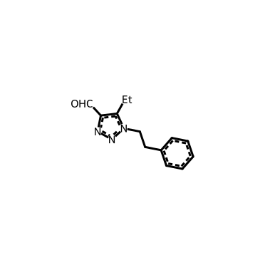 CCc1c(C=O)nnn1CCc1ccccc1